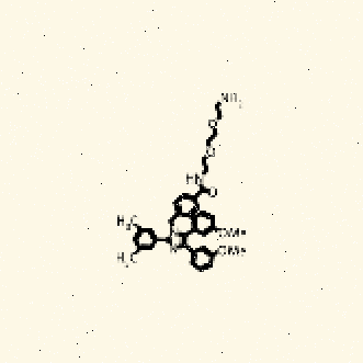 COc1cccc(-c2nc(-c3cc(C)cc(C)c3)n(Cc3ccc(C(=O)NCCOCCOCCN)cc3)c2-c2cccc(OC)c2)c1